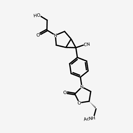 CC(=O)NC[C@H]1CN(c2ccc(C3(C#N)C4CN(C(=O)CO)CC43)cc2)C(=O)O1